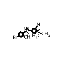 Cc1cc(Br)ccc1-c1nnc(-c2ccc(SC(C)C)c(C#N)c2)s1